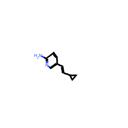 Nc1ccc(/C=C/C2CC2)cn1